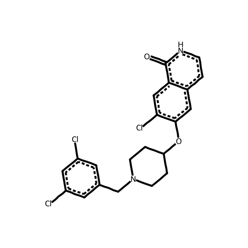 O=c1[nH]ccc2cc(OC3CCN(Cc4cc(Cl)cc(Cl)c4)CC3)c(Cl)cc12